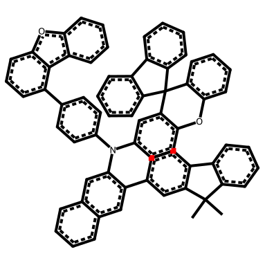 CC1(C)c2ccccc2-c2ccc(-c3cc4ccccc4cc3N(c3ccc(-c4cccc5oc6ccccc6c45)cc3)c3ccc4c(c3)C3(c5ccccc5O4)c4ccccc4-c4ccccc43)cc21